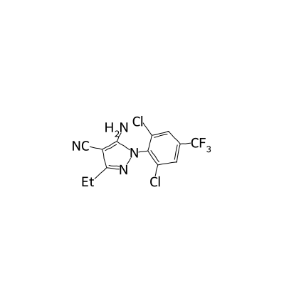 CCc1nn(-c2c(Cl)cc(C(F)(F)F)cc2Cl)c(N)c1C#N